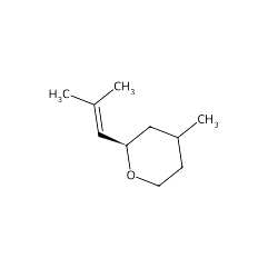 CC(C)=C[C@H]1CC(C)CCO1